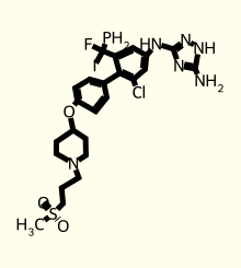 CS(=O)(=O)CCCN1CCC(Oc2ccc(-c3c(Cl)cc(Nc4n[nH]c(N)n4)cc3C(F)(P)I)cc2)CC1